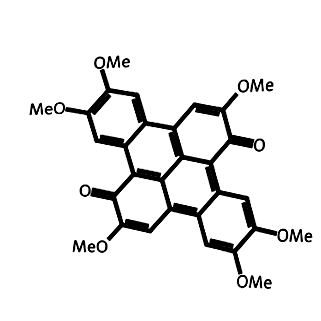 COC1=Cc2c3cc(OC)c(OC)cc3c3c4c(c5cc(OC)c(OC)cc5c(c24)C1=O)C=C(OC)C3=O